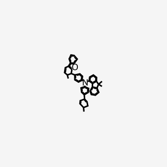 CC1C=CC(c2ccc(N(c3ccc(C4c5oc6ccccc6c5C=CC4C)cc3)c3cccc4c3-c3ccccc3C4(C)C)cc2)=CC1